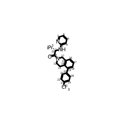 CC(C)[C@H](Nc1ccccn1)C(=O)N1CCc2c(cccc2-c2ccc(C(F)(F)F)cc2)C1